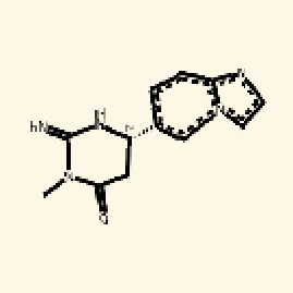 CN1C(=N)N[C@H](c2ccc3nccn3c2)CC1=O